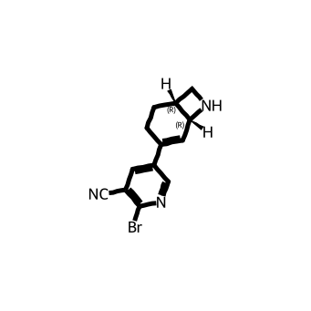 N#Cc1cc(C2=C[C@H]3NC[C@H]3CC2)cnc1Br